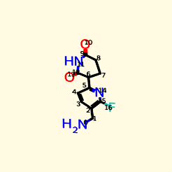 NCc1ccc(C2CCC(=O)NC2=O)nc1F